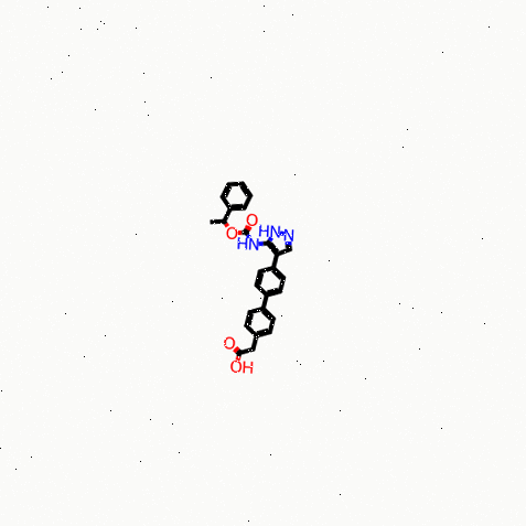 CC(OC(=O)Nc1[nH]ncc1-c1ccc(-c2ccc(CC(=O)O)cc2)cc1)c1ccccc1